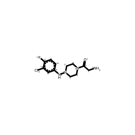 NCC(=O)N1CCN(Nc2ccc(F)c(Cl)c2)CC1